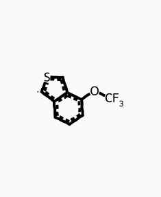 FC(F)(F)Oc1cccc2[c]scc12